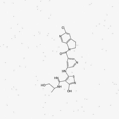 CC(CO)NC(=N)c1c(O)nsc1Nc1cncc(C(=O)N2CCc3cc(Cl)ncc32)c1